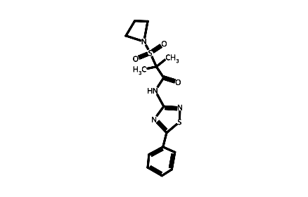 CC(C)(C(=O)Nc1nsc(-c2ccccc2)n1)S(=O)(=O)N1CCC1